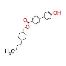 CCCC[C@H]1CC[C@H](COC(=O)c2ccc(-c3ccc(O)cc3)cc2)CC1